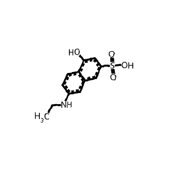 CCNc1ccc2c(O)cc(S(=O)(=O)O)cc2c1